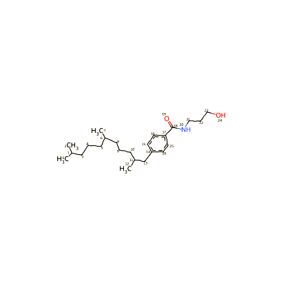 CC(C)CCCC(C)CCCC(C)Cc1ccc(C(=O)NCCCO)cc1